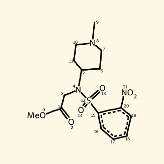 COC(=O)CN(C1CCN(C)CC1)S(=O)(=O)c1ccccc1[N+](=O)[O-]